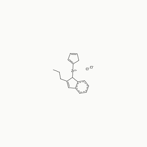 CCCC1=Cc2ccccc2[CH]1[Zr+2][C]1=CC=CC1.[Cl-].[Cl-]